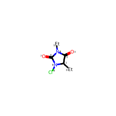 CCC1C(=O)N(CC)C(=O)N1Cl